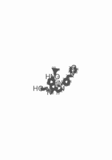 O=C(Nc1ccc(-c2c(-c3ccnc(Nc4cccc(CCN5CCOCC5)c4)n3)cnn2CCO)cc1)C1CC1